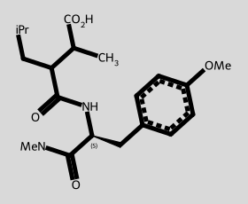 CNC(=O)[C@H](Cc1ccc(OC)cc1)NC(=O)C(CC(C)C)C(C)C(=O)O